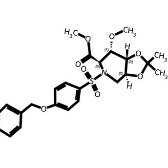 COC(=O)[C@H]1[C@H](OC)[C@@H]2OC(C)(C)O[C@H]2CN1S(=O)(=O)c1ccc(OCc2ccccc2)cc1